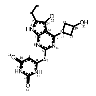 CCc1[nH]c2nc(Sc3cc(=O)[nH]c(=O)[nH]3)nc(N3CC(O)C3)c2c1Cl